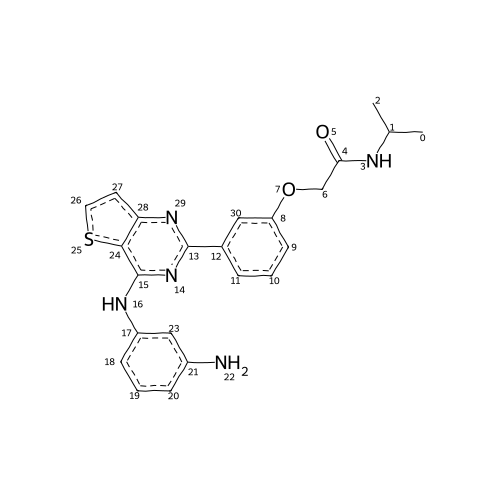 CC(C)NC(=O)COc1cccc(-c2nc(Nc3cccc(N)c3)c3sccc3n2)c1